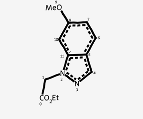 CCOC(=O)Cn1ncc2ccc(OC)cc21